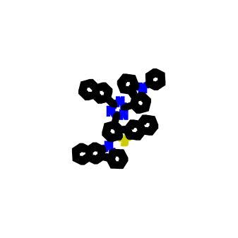 c1ccc(-n2c3ccccc3c3c(-c4nc(-c5ccc6ccccc6c5)nc(-c5ccc(-n6c7ccccc7c7cc8ccccc8cc76)c6sc7cc8ccccc8cc7c56)n4)cccc32)cc1